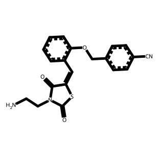 N#Cc1ccc(COc2ccccc2/C=C2/SC(=O)N(CCN)C2=O)cc1